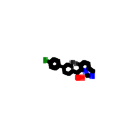 CC(C)c1ccc2cncn2c1[C@H](O)[C@H]1CC[C@H](c2ccc(F)cc2)CC1